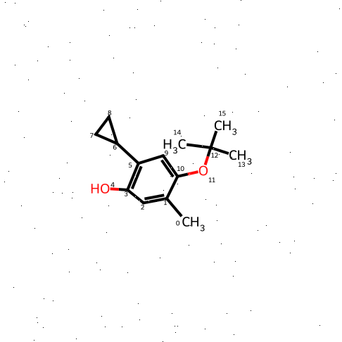 Cc1cc(O)c(C2CC2)cc1OC(C)(C)C